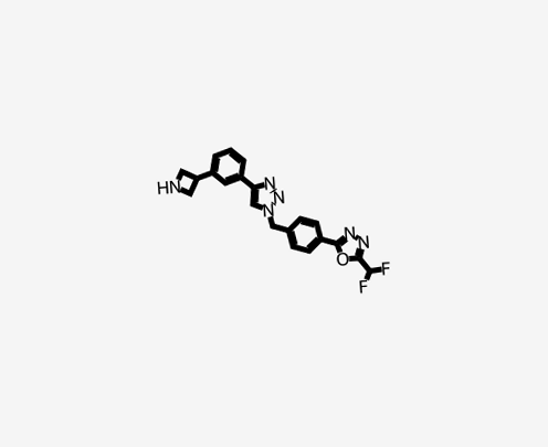 FC(F)c1nnc(-c2ccc(Cn3cc(-c4cccc(C5CNC5)c4)nn3)cc2)o1